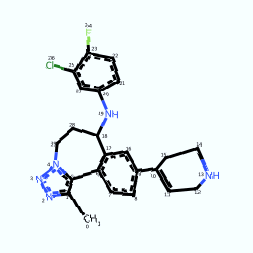 Cc1nnn2c1-c1ccc(C3=CCNCC3)cc1C(Nc1ccc(F)c(Cl)c1)CC2